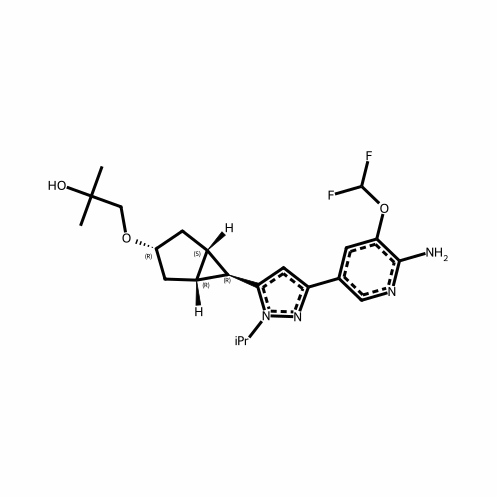 CC(C)n1nc(-c2cnc(N)c(OC(F)F)c2)cc1[C@H]1[C@@H]2C[C@H](OCC(C)(C)O)C[C@@H]21